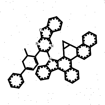 CC1CC(c2ccccc2)=CC=C1c1nc2oc3ccccc3c2nc1-n1c2ccccc2c2c3ccccc3c3c(c21)C1CC1c1c-3ccc2ccccc12